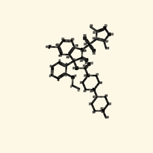 CCOc1ccccc1C1(OC(=O)N2CCN(C3CCN(C)CC3)CC2)C(=O)N(S(=O)(=O)c2c(C)noc2C)c2ccc(F)cc21